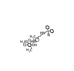 CCc1cc(Cl)c(OC)c(C(=O)NC[C@@H]2CCCN(CCCCNCCC(C#N)(c3ccccc3)c3ccccc3)C2C)c1O